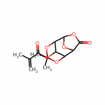 C=C(C)C(=O)OC1C2OC(C)(C)OC1C1OC2OC1=O